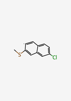 CSc1[c]cc2ccc(Cl)cc2c1